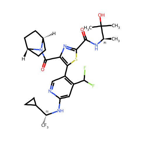 C[C@@H](NC(=O)c1nc(C(=O)N2[C@H]3CC[C@H]2CC3)c(-c2cnc(N[C@@H](C3CC3)C(F)(F)F)cc2C(F)F)s1)C(C)(C)O